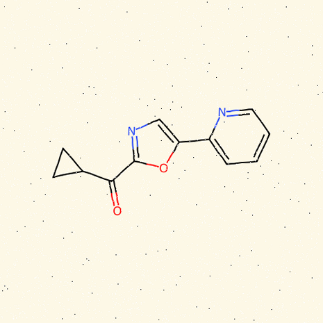 O=C(c1ncc(-c2ccccn2)o1)C1CC1